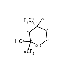 C[C@@]1(C(F)(F)F)CCOC(O)(C(F)(F)F)C1